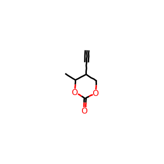 C#CC1COC(=O)OC1C